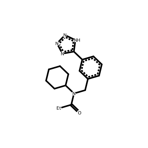 CCC(=O)N(Cc1cccc(-c2nnn[nH]2)c1)C1CCCCC1